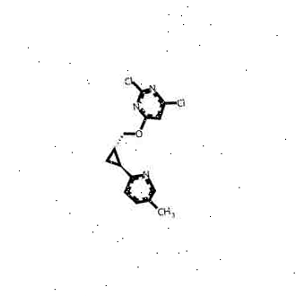 Cc1ccc([C@H]2C[C@@H]2COc2cc(Cl)nc(Cl)n2)nc1